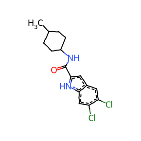 CC1CCC(NC(=O)c2cc3cc(Cl)c(Cl)cc3[nH]2)CC1